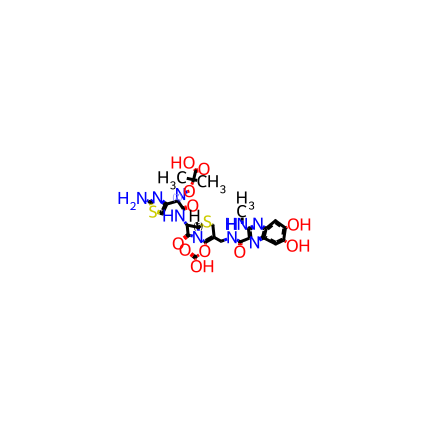 CNc1nc2cc(O)c(O)cc2nc1C(=O)NCC1=C(OC(=O)O)N2C(=O)C(NC(=O)/C(=N\OC(C)(C)C(=O)O)c3csc(N)n3)[C@@H]2SC1